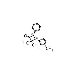 Cc1csc([C@H]2[C@H](c3ccccc3)C(=O)C2(C)C)c1